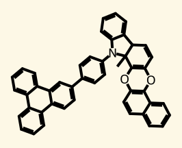 CC12C3=C(C=CC1c1ccccc1N2c1ccc(-c2ccc4c5ccccc5c5ccccc5c4c2)cc1)Oc1c(ccc2ccccc12)O3